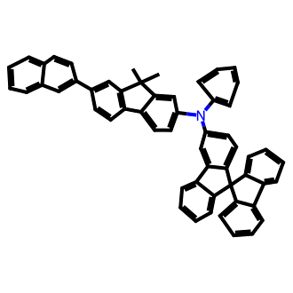 CC1(C)c2cc(-c3ccc4ccccc4c3)ccc2-c2ccc(N(c3ccccc3)c3ccc4c(c3)-c3ccccc3C43c4ccccc4-c4ccccc43)cc21